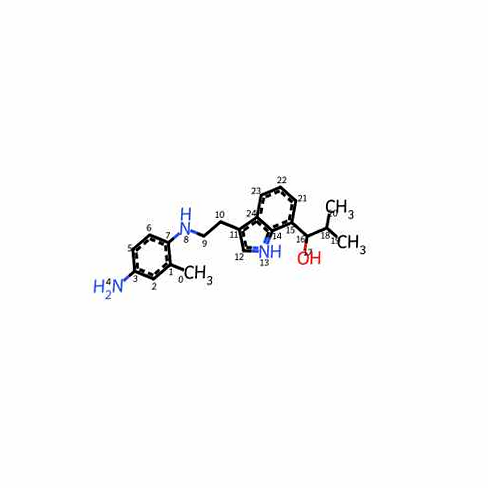 Cc1cc(N)ccc1NCCc1c[nH]c2c(C(O)C(C)C)cccc12